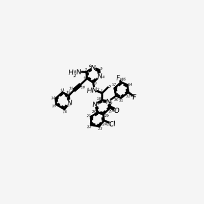 CC(Nc1ncnc(N)c1C#Cc1ccccn1)c1nc2cccc(Cl)c2c(=O)n1-c1cc(F)cc(F)c1